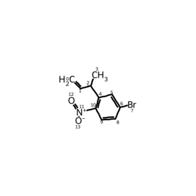 C=C[C](C)c1cc(Br)ccc1[N+](=O)[O-]